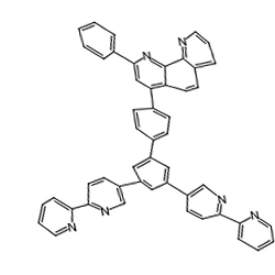 c1ccc(-c2cc(-c3ccc(-c4cc(-c5ccc(-c6ccccn6)nc5)cc(-c5ccc(-c6ccccn6)nc5)c4)cc3)c3ccc4cccnc4c3n2)cc1